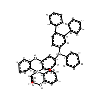 c1ccc(-c2ccc(N(c3ccccc3)c3ccc4c(c3)Oc3ccccc3[Si]43c4ccccc4Oc4ccccc43)cc2-c2ccccc2)cc1